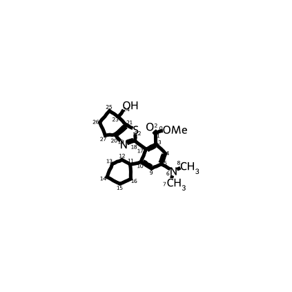 COC(=O)c1cc(N(C)C)cc(C2CCCCC2)c1-c1nc2c(s1)C(O)CCC2